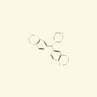 c1cc2c(cc1C(c1ccc3c(c1)OCCO3)N1CCNCC1)OCCO2